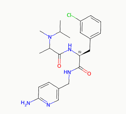 CC(C)N(C)C(C)C(=O)N[C@@H](Cc1cccc(Cl)c1)C(=O)NCc1ccc(N)nc1